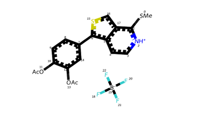 CSc1[nH+]ccc2c(-c3ccc(OC(C)=O)c(OC(C)=O)c3)scc12.F[B-](F)(F)F